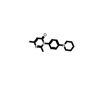 Cc1cc(=O)n(-c2ccc(N3CCCCC3)cc2)c(C)n1